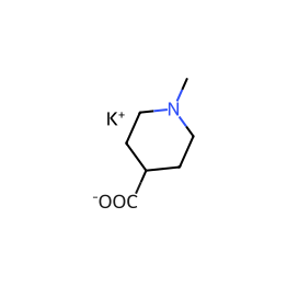 CN1CCC(C(=O)[O-])CC1.[K+]